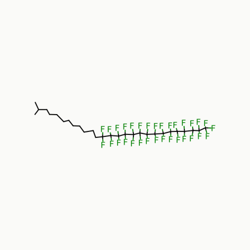 CC(C)CCCCCCCCCCC(F)(F)C(F)(F)C(F)(F)C(F)(F)C(F)(F)C(F)(F)C(F)(F)C(F)(F)C(F)(F)C(F)(F)C(F)(F)C(F)(F)C(F)(F)C(F)(F)C(F)(F)F